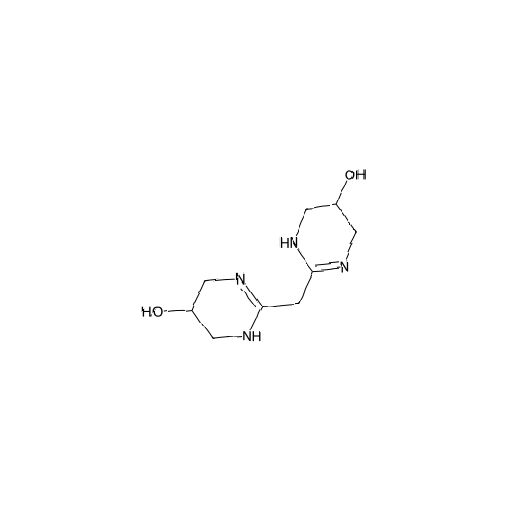 OC1CN=C(CC2=NCC(O)CN2)NC1